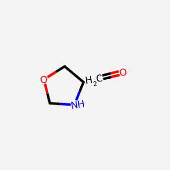 C1COCN1.C=O